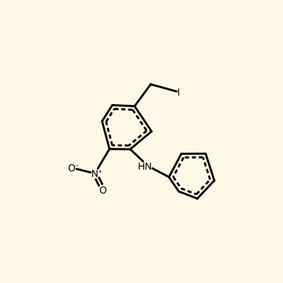 O=[N+]([O-])c1ccc(CI)cc1Nc1ccccc1